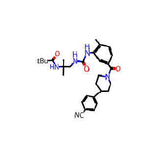 Cc1ccc(C(=O)N2CCC(c3ccc(C#N)cc3)CC2)cc1NC(=O)NCC(C)(C)NC(=O)C(C)(C)C